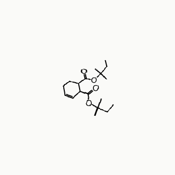 CCC(C)(C)OC(=O)C1C=CCCC1C(=O)OC(C)(C)CC